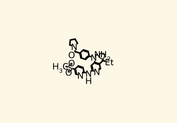 CCC(=O)c1cnc(Nc2ccc(S(C)(=O)=O)cn2)cc1N(N)c1ccc(C(=O)N2CCCC2)cc1